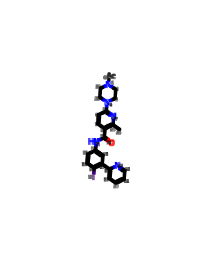 CC(=O)N1CCN(c2ccc(C(=O)Nc3ccc(I)c(-c4ccccn4)c3)c(C)n2)CC1